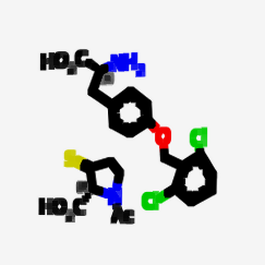 CC(=O)N1CCC(=S)[C@H]1C(=O)O.N[C@@H](Cc1ccc(OCc2c(Cl)cccc2Cl)cc1)C(=O)O